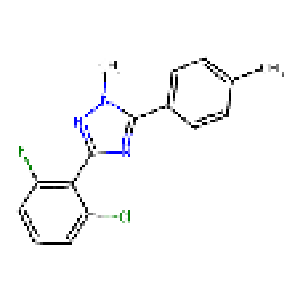 Cc1ccc(-c2nc(-c3c(F)cccc3Cl)nn2C)cc1